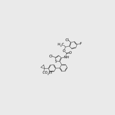 CCOC(=O)C1(c2ccc(-c3ccccc3-c3sc(Cl)cc3NC(=O)OC(C)c3ccc(F)cc3Cl)cc2)CC1